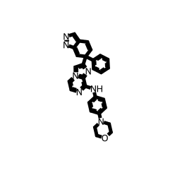 C1=CC(c2ccccc2)(c2cn3ccnc(Nc4ccc(N5CCOCC5)cc4)c3n2)C=C2N=NC=C12